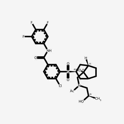 CC(=O)N(C[C@@H](C)O)C[C@@]1(O)C2CC[C@H]1C[C@H](S(=O)(=O)c1cc(C(=O)Nc3cc(F)c(F)c(F)c3)ccc1Cl)C2